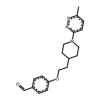 Cc1ccc(N2CCC(CCOc3ccc(C=O)cc3)CC2)nn1